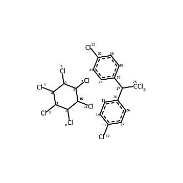 ClC1C(Cl)C(Cl)C(Cl)C(Cl)C1Cl.Clc1ccc(C(c2ccc(Cl)cc2)C(Cl)(Cl)Cl)cc1